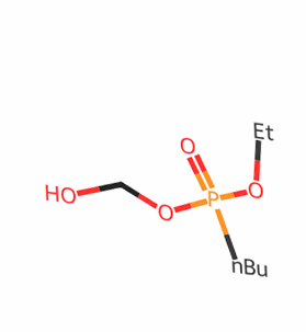 CCCCP(=O)(OCC)OCO